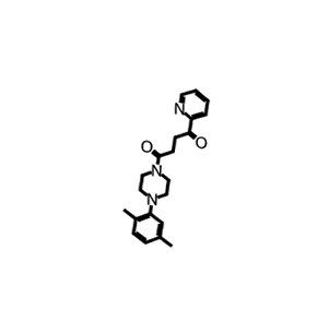 Cc1ccc(C)c(N2CCN(C(=O)CCC(=O)c3ccccn3)CC2)c1